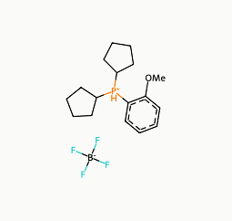 COc1ccccc1[PH+](C1CCCC1)C1CCCC1.F[B-](F)(F)F